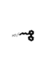 O=C(O)CCC/C=C/c1ccccc1-c1ccccc1